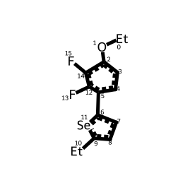 CCOc1ccc(-c2ccc(CC)[se]2)c(F)c1F